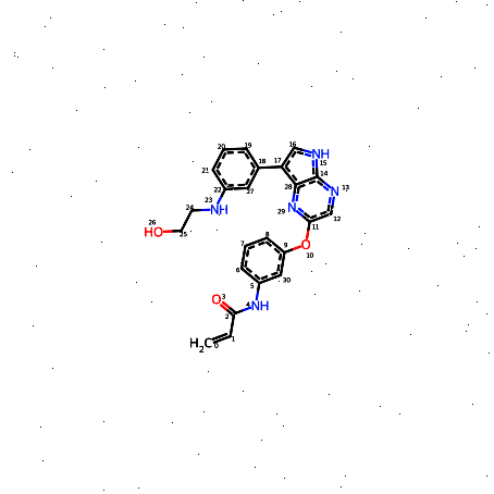 C=CC(=O)Nc1cccc(Oc2cnc3[nH]cc(-c4cccc(NCCO)c4)c3n2)c1